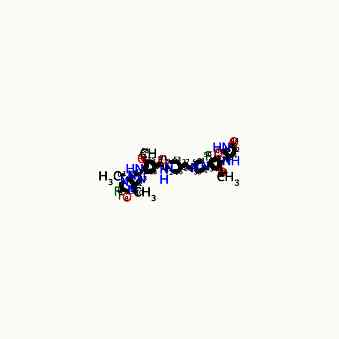 CCN1CC(F)(F)C(=O)N(C)c2cnc(Nc3ccc(C(=O)NN4CCC(CCN5CCN(c6cc(OC)c(NC7CCC(=O)NC7=O)cc6F)CC5)CC4)cc3OC)nc21